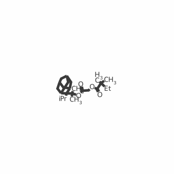 CCC(C)(C)C(=O)OCC(=O)OC(C)(C)C1(C(C)C)C2CC3CC(C2)CC1C3